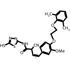 COc1cc(/C=C\C(C#N)C(=O)Nc2nnc(S)s2)ccc1OCCOc1c(C)cccc1C